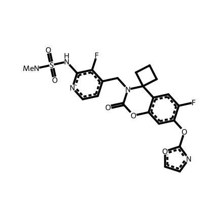 CNS(=O)(=O)Nc1nccc(CN2C(=O)Oc3cc(Oc4ncco4)c(F)cc3C23CCC3)c1F